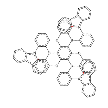 c1ccc2c(c1)Oc1c(c3c(c4c1B(c1ccccc1-n1c5ccccc5c5ccccc51)c1ccccc1O4)B(c1ccccc1-n1c4ccccc4c4ccccc41)c1ccccc1O3)B2c1ccccc1-n1c2ccccc2c2ccccc21